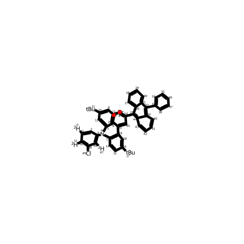 [2H]c1cc(N(c2cc(Br)cc(C(C)(C)C)c2)c2ccc(C(C)(C)C)cc2-c2cccc(-c3c4ccccc4c(-c4ccccc4)c4ccccc34)c2)c([2H])c(Cl)c1[2H]